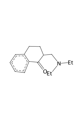 CCN(CC)CC1CCc2ccccc2C1=O